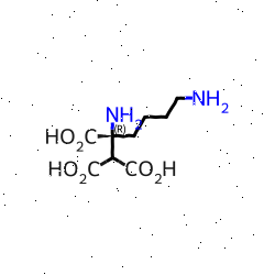 NCCCC[C@](N)(C(=O)O)C(C(=O)O)C(=O)O